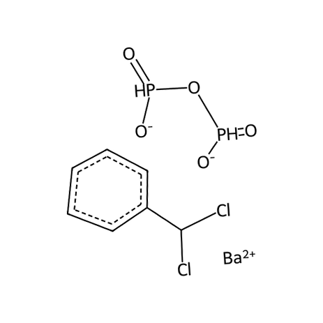 ClC(Cl)c1ccccc1.O=[PH]([O-])O[PH](=O)[O-].[Ba+2]